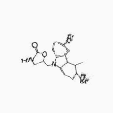 CC1C(Br)CC=C2C1c1cc(Br)ccc1N2CC1CNC(=O)O1